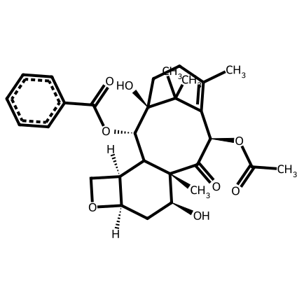 CC(=O)O[C@H]1C(=O)[C@@]2(C)C([C@@H]3CO[C@@H]3C[C@@H]2O)[C@H](OC(=O)c2ccccc2)[C@]2(O)CCC(C)=C1C2(C)C